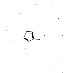 [CH2]C1=CCC=C1